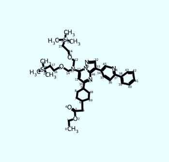 CCOC(=O)CC1CCC(c2cc(N(COCC[Si](C)(C)C)COCC[Si](C)(C)C)n3ncc(-c4ccc(-c5ccccc5)nc4)c3n2)CC1